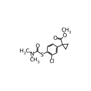 COC(=O)C1(c2ccc(SC(=O)N(C)C)c(Cl)c2)CC1